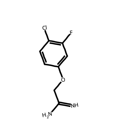 N=C(N)COc1ccc(Cl)c(F)c1